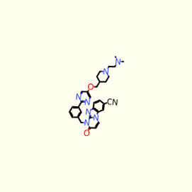 CN(C)CCN1CCC(COc2cnc(-c3cccc(Cn4c(=O)ccn5c6cc(C#N)ccc6nc45)c3)nc2)CC1